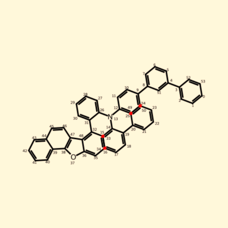 c1ccc(-c2cccc(-c3ccc(N(c4ccccc4-c4ccccc4)c4ccccc4-c4cccc5oc6c7ccccc7ccc6c45)cc3)c2)cc1